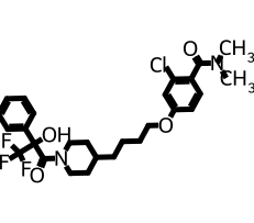 CN(C)C(=O)c1ccc(OCCCCC2CCN(C(=O)C(O)(c3ccccc3)C(F)(F)F)CC2)cc1Cl